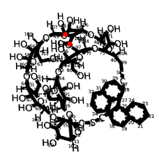 OC[C@H]1O[C@@H]2O[C@H]3C(O)C(O)[C@@H]4O[C@@H]3CSCc3ccc5ccccc5c3-c3c(ccc5ccccc35)CSC[C@H]3O[C@H](O[C@H]5C(O)C(O)[C@H](O[C@@H]5CO)O[C@H]5C(O)C(O)[C@H](O[C@@H]5CO)O[C@H]1C(O)C2O)C(O)C(O)[C@@H]3O[C@@H]1O[C@H](CO)[C@@H](O[C@H]2O[C@H](CO)[C@@H](O4)C(O)C2O)C(O)C1O